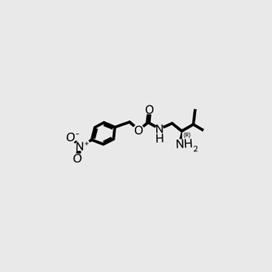 CC(C)[C@@H](N)CNC(=O)OCc1ccc([N+](=O)[O-])cc1